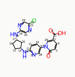 O=C(O)c1ccc(=O)n(-c2ccc(N[C@H]3CC[C@H](Nc4cnc(Cl)cn4)C3)nc2)c1